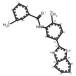 Cc1cccc(C(=O)Nc2cc(-c3nc4ccccc4s3)ccc2C)c1